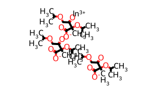 CC(C)OCC(=O)C(C)(OC(C)C)C(=O)[O-].CC(C)OCC(=O)C(C)(OC(C)C)C(=O)[O-].CC(C)OCC(=O)C(C)(OC(C)C)C(=O)[O-].[In+3]